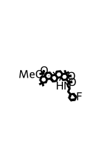 COC(=O)[C@]12CCC(C)(C)CC1C1=CCC3[C@@]4(C)CC(C(=O)NCCc5cccc(F)c5)C(=O)C(C)(C)C4CC[C@@]3(C)[C@]1(C)CC2